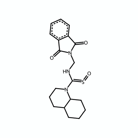 O=S=C(NCN1C(=O)c2ccccc2C1=O)N1CCCC2CCCCC21